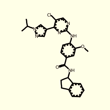 COc1cc(C(=O)NC2CCc3ccccc32)ccc1Nc1ncc(Cl)c(-c2cnn(C(C)C)c2)n1